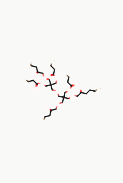 O=C(CCS)COCC(COCC(=O)CCCS)(COCC(COCC(=O)CCS)(COC(=O)CCS)COC(=O)CCS)COC(=O)CCS